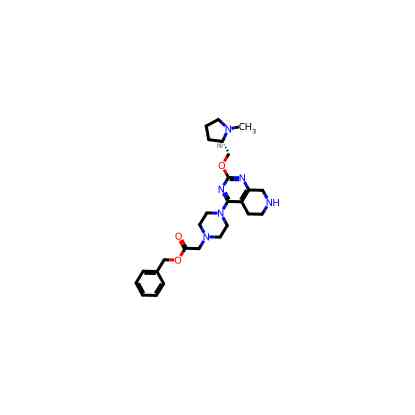 CN1CCC[C@H]1COc1nc2c(c(N3CCN(CC(=O)OCc4ccccc4)CC3)n1)CCNC2